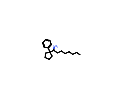 CCCCCCCC(N)C1(c2ccccc2)CCCC1